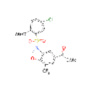 COC(=O)c1cc2c(c(C(F)(F)F)c1)OCN2S(=O)(=O)c1cc(Cl)ccc1OC